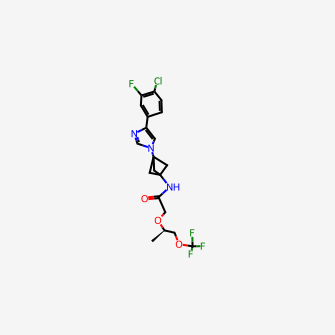 C[C@H](COC(F)(F)F)OCC(=O)NC12CC(n3cnc(-c4ccc(Cl)c(F)c4)c3)(C1)C2